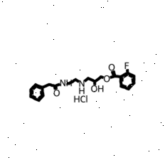 Cl.O=C(Cc1ccccc1)NCCNCC(O)COC(=O)c1ccccc1F